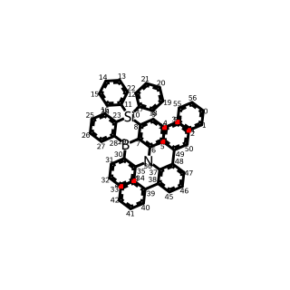 c1ccc(-c2cc3c4c(c2)[Si](c2ccccc2)(c2ccccc2)c2ccccc2B4c2ccccc2N3c2c(-c3ccccc3)cccc2-c2ccccc2)cc1